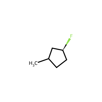 CC1CC[C@H](F)C1